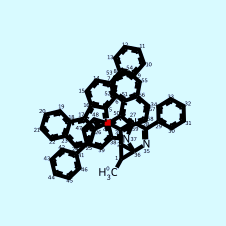 CC1C2C(n3c4cc(-c5ccccc5)ccc4c4c5ccccc5ccc43)=NC(c3ccccc3)=NC12n1c2cc(-c3ccccc3)ccc2c2c3ccccc3ccc21